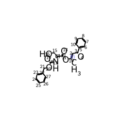 C/C(=C\C(=O)c1ccccc1)OC(=O)[C@H](CO)NC(=O)OCc1ccccc1